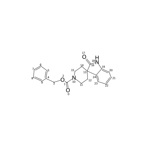 O=C(OCc1ccccc1)N1CCC2(CC1)C(=O)Nc1ccccc12